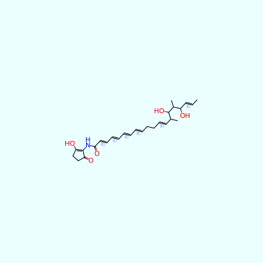 C/C=C/C(O)C(C)C(O)C(C)/C=C/CC/C=C/C=C/C=C/C=C/C(=O)NC1=C(O)CCC1=O